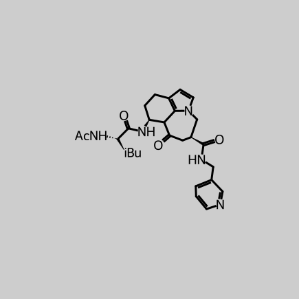 CC[C@H](C)[C@H](NC(C)=O)C(=O)N[C@H]1CCc2ccn3c2C1C(=O)C[C@H](C(=O)NCc1cccnc1)C3